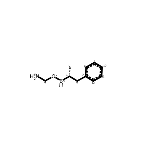 C[C@@H](BOCN)Cc1ccccc1